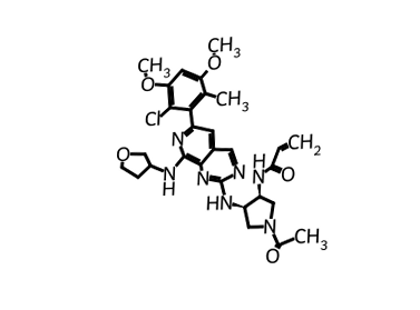 C=CC(=O)N[C@H]1CN(C(C)=O)C[C@H]1Nc1ncc2cc(-c3c(C)c(OC)cc(OC)c3Cl)nc(NC3CCOC3)c2n1